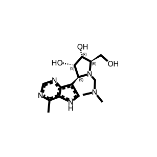 Cc1ncnc2c([C@H]3[C@H](O)[C@H](O)[C@@H](CO)N3CN(C)C)c[nH]c12